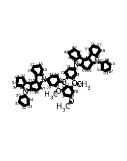 COc1cc(OC)c(B(c2ccc(-n3c4ccccc4c4c5c6ccccc6n(-c6ccccc6)c5ccc43)cc2)c2ccc(-n3c4ccccc4c4c5c6ccccc6n(-c6ccccc6)c5ccc43)cc2)c(OC)c1